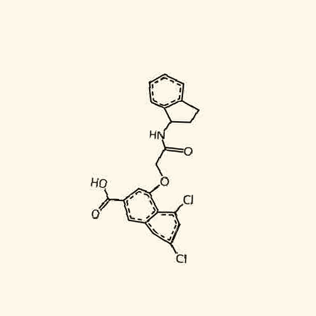 O=C(COc1cc(C(=O)O)cc2cc(Cl)cc(Cl)c12)NC1CCc2ccccc21